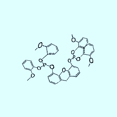 COc1ccccc1OP(Oc1ccccc1OC)Oc1cccc2c1Oc1c(cccc1OP(Oc1ccccc1OC)Oc1ccccc1OC)C2